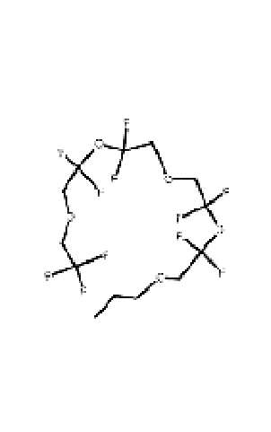 CCCOCC(F)(F)OC(F)(F)COCC(F)(F)OC(F)(F)COCC(F)(F)F